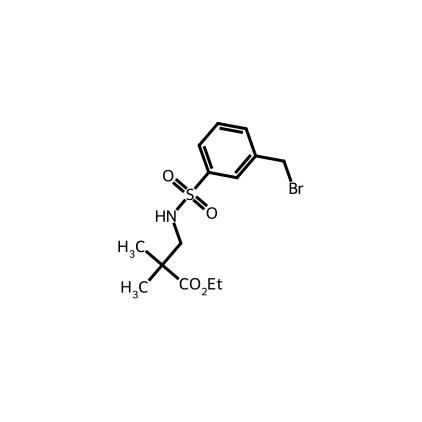 CCOC(=O)C(C)(C)CNS(=O)(=O)c1cccc(CBr)c1